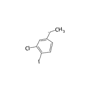 C[CH]c1ccc(I)c(Cl)c1